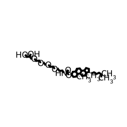 CC(C)CCCC[C@H]1CCC2C3CC=C4C[C@@H](OC(=O)NCCCOCCOCCOCCOCC(O)CO)CC[C@]4(C)C3CC[C@@]21C